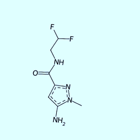 Cn1nc(C(=O)NCC(F)F)cc1N